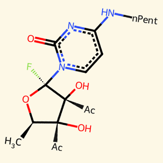 CCCCCNc1ccn([C@]2(F)O[C@H](C)[C@](O)(C(C)=O)[C@]2(O)C(C)=O)c(=O)n1